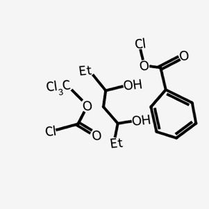 CCC(O)CC(O)CC.O=C(Cl)OC(Cl)(Cl)Cl.O=C(OCl)c1ccccc1